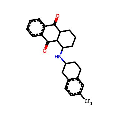 O=C1c2ccccc2C(=O)C2C(NC3CCc4cc(C(F)(F)F)ccc4C3)CCCC12